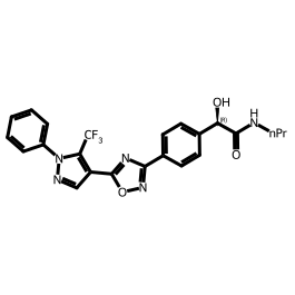 CCCNC(=O)[C@H](O)c1ccc(-c2noc(-c3cnn(-c4ccccc4)c3C(F)(F)F)n2)cc1